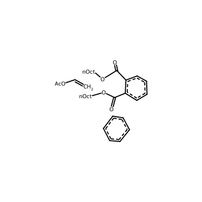 C=COC(C)=O.CCCCCCCCOC(=O)c1ccccc1C(=O)OCCCCCCCC.c1ccccc1